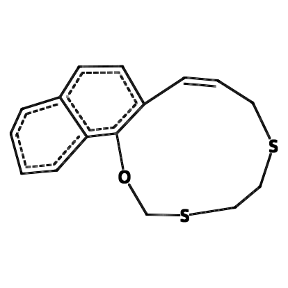 C1=C\c2ccc3ccccc3c2OCSCCSC/1